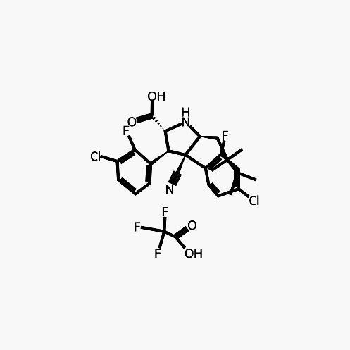 CC(C)C(C)(C)C[C@@H]1N[C@@H](C(=O)O)[C@H](c2cccc(Cl)c2F)[C@@]1(C#N)c1ccc(Cl)cc1F.O=C(O)C(F)(F)F